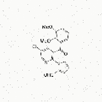 COc1cccc(C(=O)c2cc(Cl)cnc2-n2cccc2C=O)c1OC